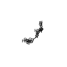 O=C1CCC(N2C(=O)c3cccc(OCCCCCN4CCN(c5ccc(Nc6ncc7ccc(-c8ccc(OC(F)(F)F)cc8)n7n6)cn5)CC4)c3C2=O)C(=O)N1